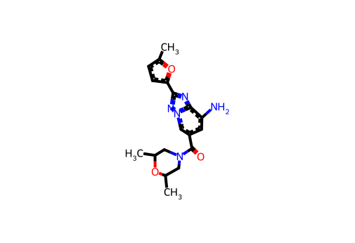 Cc1ccc(-c2nc3c(N)cc(C(=O)N4CC(C)OC(C)C4)cn3n2)o1